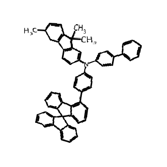 CC1C=CC2=C(C1)c1ccc(N(c3ccc(-c4ccccc4)cc3)c3ccc(-c4cccc5c4-c4ccccc4C54c5ccccc5-c5ccccc54)cc3)cc1C2(C)C